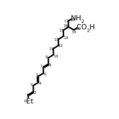 CC/C=C/C/C=C/C/C=C/CCCCCCCC(CN)CC(=O)O